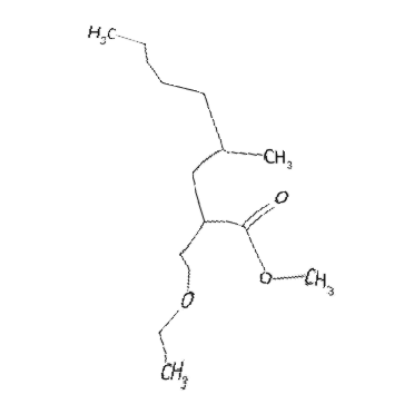 CCCCC(C)CC(COCC)C(=O)OC